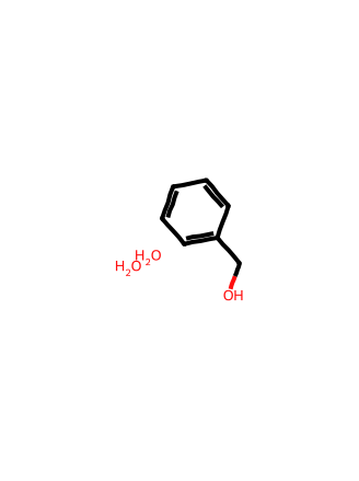 O.O.OCc1ccccc1